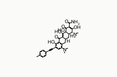 Cc1ccc(C#Cc2cc(N(C)C)c3c(c2O)C(=O)C2=C(O)[C@@]4(O)C(=O)C(C(N)=O)=C(O)[C@H](N(C)C)[C@H]4C[C@H]2C3)cc1